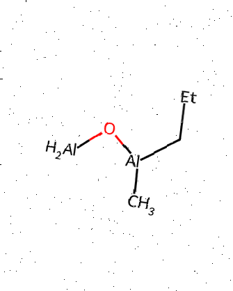 CC[CH2][Al]([CH3])[O][AlH2]